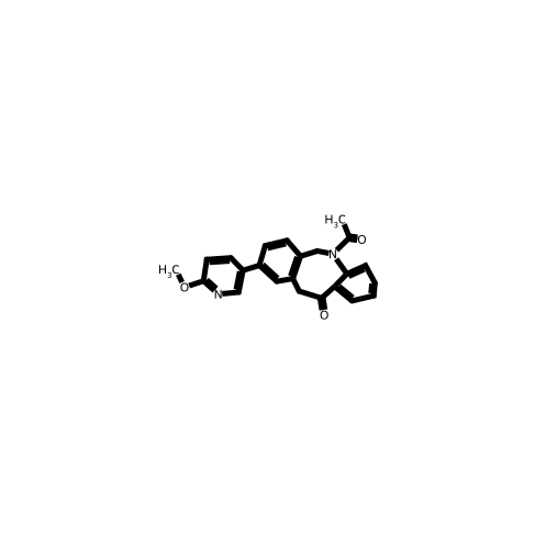 COc1ccc(-c2ccc3c(c2)CC(=O)c2ccccc2N(C(C)=O)C3)cn1